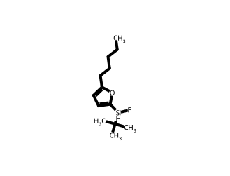 CCCCCc1ccc([SiH](F)C(C)(C)C)o1